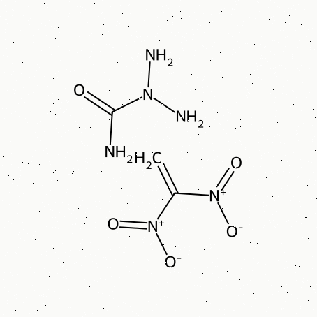 C=C([N+](=O)[O-])[N+](=O)[O-].NC(=O)N(N)N